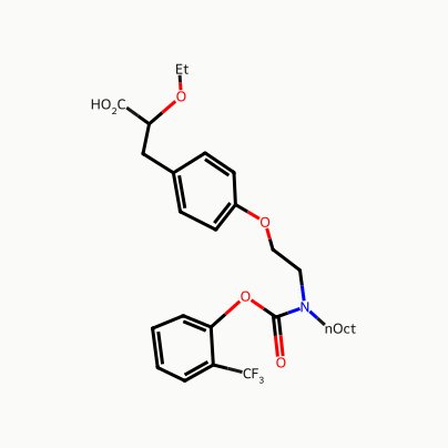 CCCCCCCCN(CCOc1ccc(CC(OCC)C(=O)O)cc1)C(=O)Oc1ccccc1C(F)(F)F